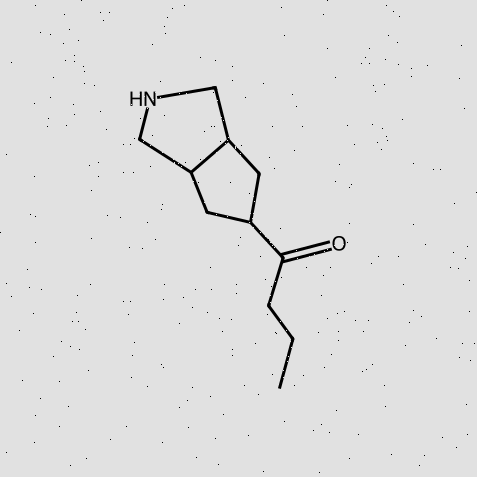 CCCC(=O)C1CC2CNCC2C1